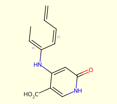 C=C/C=C\C(=C/C)Nc1cc(=O)[nH]cc1C(=O)O